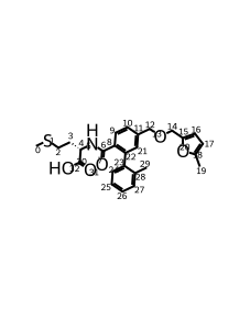 CSCC[C@H](NC(=O)c1ccc(COCc2ccc(C)o2)cc1-c1ccccc1C)C(=O)O